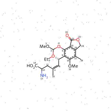 CCOC(OC)Oc1c(CC=C(C)CC(N)C(=O)O)c(OC)c(C)c2c1C(=O)OC2